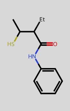 CCC(C(=O)Nc1ccccc1)C(C)S